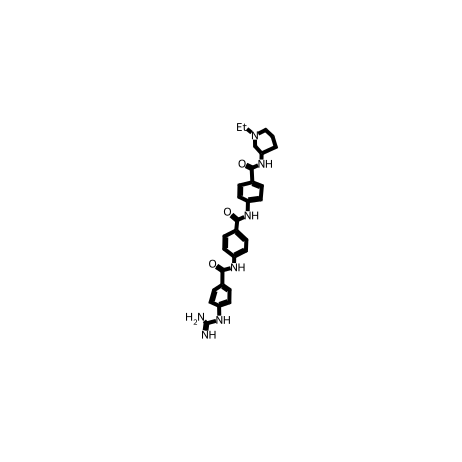 CCN1CCCC(NC(=O)c2ccc(NC(=O)c3ccc(NC(=O)c4ccc(NC(=N)N)cc4)cc3)cc2)C1